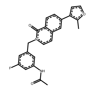 CC(=O)Nc1cc(F)cc(Cn2ccc3cc(-c4ccoc4C)ccc3c2=O)c1